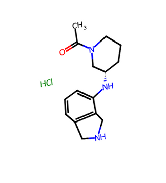 CC(=O)N1CCC[C@H](Nc2cccc3c2CNC3)C1.Cl